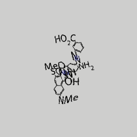 CNc1ccc2cc(S(=O)(=O)O)c(/N=N/c3cc(N)c(/N=N/c4cccc(C(=O)O)c4)cc3OC)c(O)c2c1